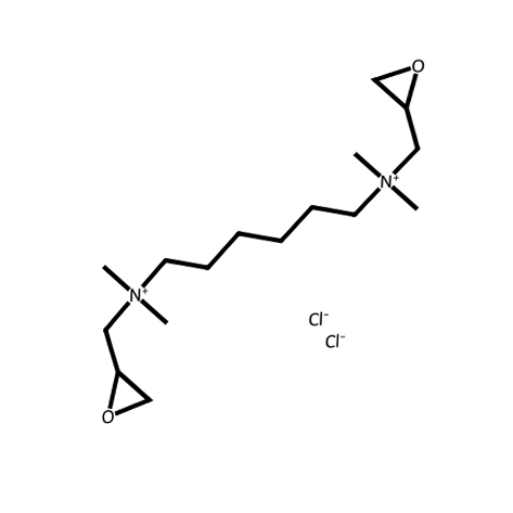 C[N+](C)(CCCCCC[N+](C)(C)CC1CO1)CC1CO1.[Cl-].[Cl-]